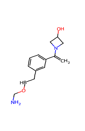 C=C(c1cccc(CBOCN)c1)N1CC(O)C1